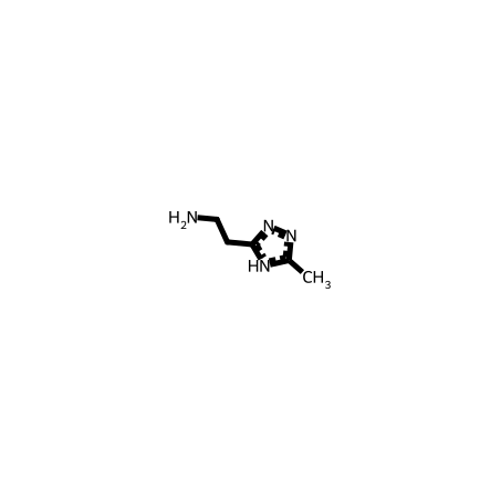 Cc1nnc(CCN)[nH]1